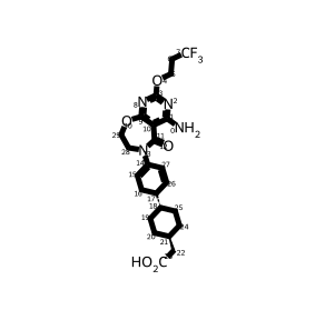 Nc1nc(OCCC(F)(F)F)nc2c1C(=O)N(C1=CCC([C@H]3CC[C@H](CC(=O)O)CC3)C=C1)CCO2